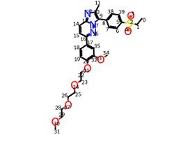 CCS(=O)(=O)c1ccc(-c2c(C)nc3ccc(-c4ccc(OCCOCCOCCOC)c(OC)c4)nn23)cc1